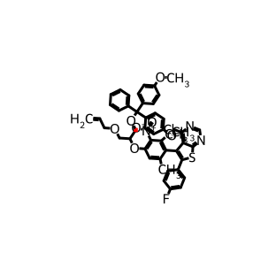 C=CCOCC(COC(c1ccccc1)(c1ccc(OC)cc1)c1ccc(OC)cc1)Oc1cc(C)c(-c2c(-c3ccc(F)cc3)sc3ncnc(Cl)c23)c(C)c1[N+](=O)[O-]